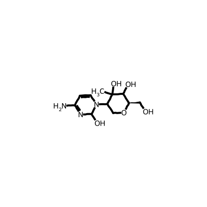 CC1(O)C(O)[C@@H](CO)OCC1N1C=CC(N)=NC1O